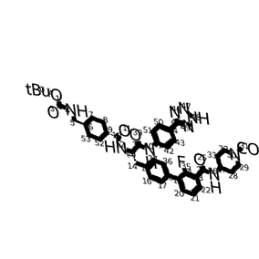 CC(C)(C)OC(=O)NC[C@H]1CC[C@H](C(=O)N[C@@H](Cc2ccc(-c3cccc(C(=O)NC4CCN(C(=O)O)CC4)c3F)cc2)C(=O)Nc2ccc(-c3nn[nH]n3)cc2)CC1